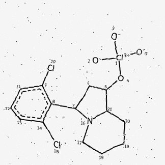 [O-][Cl+3]([O-])([O-])OC1CC(c2c(Cl)cccc2Cl)N2CCCCC12